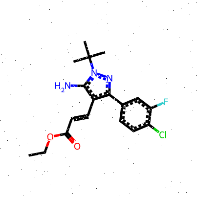 CCOC(=O)/C=C/c1c(-c2ccc(Cl)c(F)c2)nn(C(C)(C)C)c1N